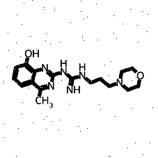 Cc1nc(NC(=N)NCCCN2CCOCC2)nc2c(O)cccc12